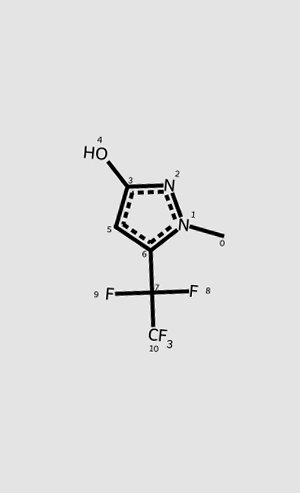 Cn1nc(O)cc1C(F)(F)C(F)(F)F